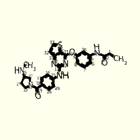 C=CC(=O)Nc1cccc(Oc2nc(Nc3ccc(C(=O)N4CCC(NC)C4)cc3)nc3ccsc23)c1